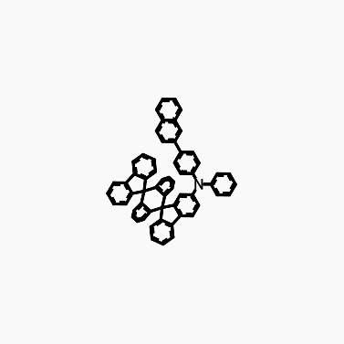 c1ccc(N(c2ccc(-c3ccc4ccccc4c3)cc2)c2ccc3c(c2)C2(c4ccccc4-3)c3ccccc3C3(c4ccccc4-c4ccccc43)c3ccccc32)cc1